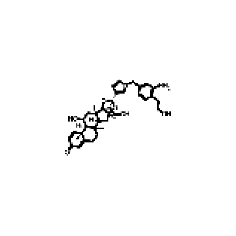 C[C@]12C=CC(=O)C=C1CC[C@@H]1[C@@H]2[C@@H](O)C[C@@]2(C)[C@H]1C[C@H]1O[C@@H](c3ccn(Cc4ccc(CCO)c(N)c4)c3)O[C@]12C(=O)CO